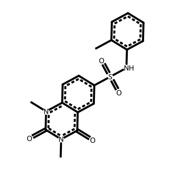 Cc1ccccc1NS(=O)(=O)c1ccc2c(c1)c(=O)n(C)c(=O)n2C